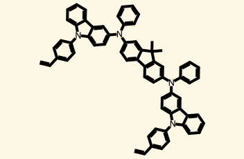 C=Cc1ccc(-n2c3ccccc3c3cc(N(c4ccccc4)c4ccc5c(c4)C(C)(C)c4cc(N(c6ccccc6)c6ccc7c(c6)c6ccccc6n7-c6ccc(C=C)cc6)ccc4-5)ccc32)cc1